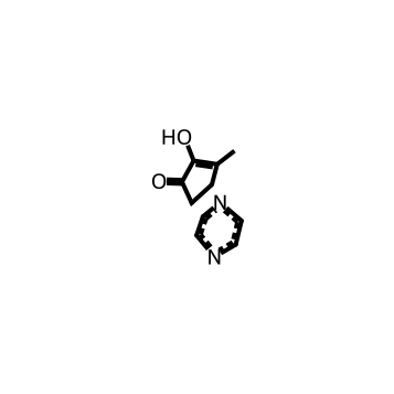 CC1=C(O)C(=O)CC1.c1cnccn1